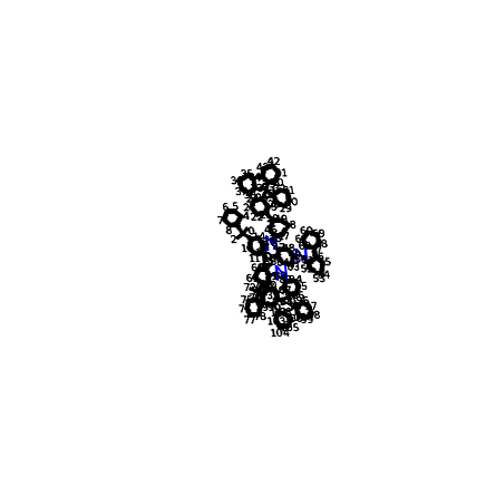 CC(C)(c1ccccc1)c1ccc2c(c1)N(c1cccc(-c3cccc([Si](c4ccccc4)(c4ccccc4)c4ccccc4)c3)c1)c1cc(-n3c4ccccc4c4ccccc43)cc3c1B2c1ccc(C(C)(C)c2ccccc2)cc1N3c1cccc([Si](c2ccccc2)(c2ccccc2)c2ccccc2)c1